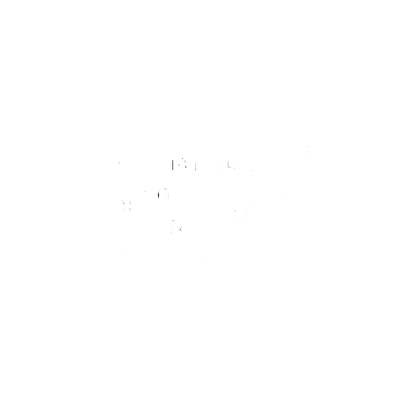 CC(C)(C)OC(=O)N1CC=CC1c1cccc(COc2ccc(Cl)cc2Cl)n1